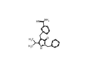 CC(C)c1[nH]n(Cc2ccccc2)c(=O)c1Cc1cccc(C(=N)N)c1